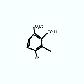 CCCCc1ccc(C(=O)OCC)c(C(=O)O)c1C